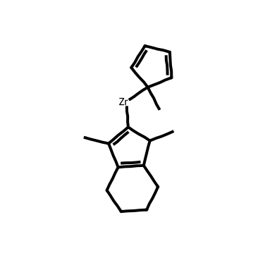 CC1=[C]([Zr][C]2(C)C=CC=C2)C(C)C2=C1CCCC2